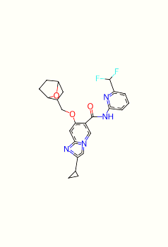 O=C(Nc1cccc(C(F)F)n1)c1cn2cc(C3CC3)nc2cc1OCC1CC2CCC1O2